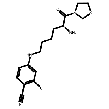 N#Cc1ccc(NCCCC[C@H](N)C(=O)N2CCSC2)cc1Cl